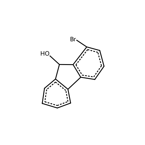 OC1c2ccccc2-c2cccc(Br)c21